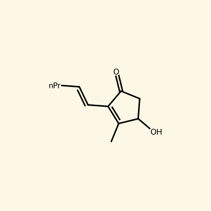 CCCC=CC1=C(C)C(O)CC1=O